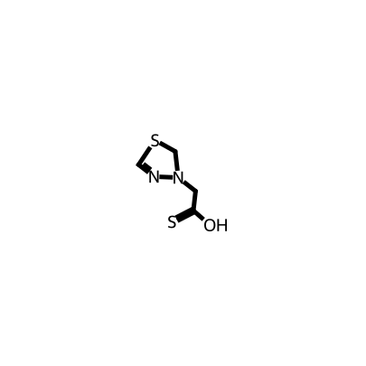 OC(=S)CN1CSC=N1